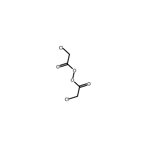 O=C(CCl)OOC(=O)CCl